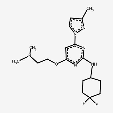 Cc1ccn(-c2cc(OCCN(C)C)nc(NC3CCC(F)(F)CC3)n2)n1